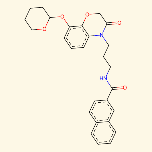 O=C(NCCCN1C(=O)COc2c(OC3CCCCO3)cccc21)c1ccc2ccccc2c1